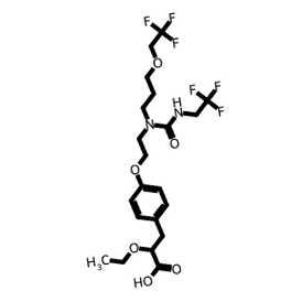 CCOC(Cc1ccc(OCCN(CCCOCC(F)(F)F)C(=O)NCC(F)(F)F)cc1)C(=O)O